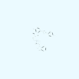 Cc1ccc(C2CN(c3ccc(Cl)c(C(=O)N[C@@H](CNC(=O)N[C@@H]4CCc5ccccc54)C(=O)O)c3Cl)C2)cc1